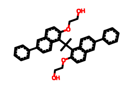 CC(C)(c1c(OCCO)ccc2cc(-c3ccccc3)ccc12)c1c(OCCO)ccc2cc(-c3ccccc3)ccc12